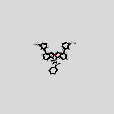 C[Si](C1CCCCC1)=[Hf]([CH3])([CH3])([CH]1C=Cc2c(-c3cccc(C(C)(C)C)c3)cccc21)[CH]1C=Cc2c(-c3cccc(C(C)(C)C)c3)cccc21